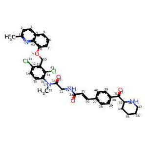 Cc1ccc2cccc(OCc3c(Cl)ccc(N(C)C(=O)CNC(=O)C=Cc4ccc(C(=O)C5CCCCN5)cc4)c3Cl)c2n1